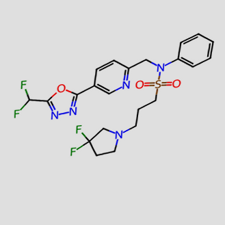 O=S(=O)(CCCN1CCC(F)(F)C1)N(Cc1ccc(-c2nnc(C(F)F)o2)cn1)c1ccccc1